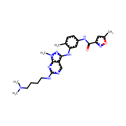 Cc1cc(C(=O)Nc2ccc(C)c(Nc3nn(C)c4nc(NCCCCN(C)C)ncc34)c2)no1